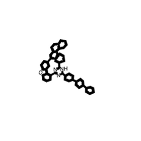 c1ccc(C2=NC(c3cccc4oc5ccc(-c6ccc7c(ccc8ccccc87)c6)cc5c34)=NC(c3ccc(-c4ccc(-c5ccccc5)cc4)cc3)N2)cc1